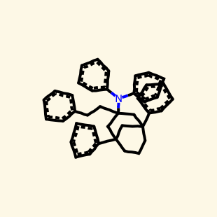 c1ccc(CCC2(N(c3ccccc3)c3ccccc3)CC3(c4ccccc4)CCCC(c4ccccc4)(C3)C2)cc1